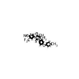 CN1CCC(Oc2ccc(N3C(=S)N(c4cnc(C#N)c(C(F)(F)F)c4)C(=O)C3(C)C)cc2)CC1